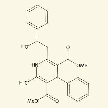 COC(=O)C1=C(C)NC(CC(O)c2ccccc2)=C(C(=O)OC)C1c1ccccc1